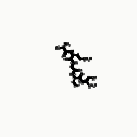 CC[C@H](C)[C@H](N)C(=O)N[C@@H](CCC(=O)O)C(=O)NCC(=O)N[C@@H](CC(C)C)C(=O)N[C@@H](CO)C(=O)O